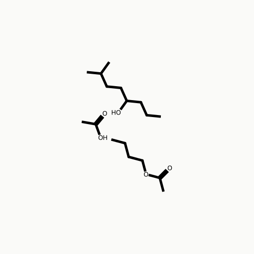 CC(=O)O.CCCC(O)CCC(C)C.CCCCOC(C)=O